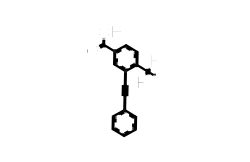 O=C(O)c1ccc(C(F)(F)F)c(C#Cc2ccccc2)c1